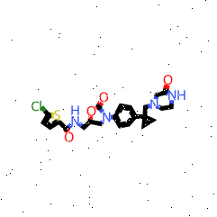 O=C1CN(CC2(c3ccc(N4CC(CNC(=O)c5ccc(Cl)s5)OC4=O)cc3)CC2)CCN1